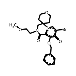 COCCN1CC2(CCOCC2)n2cc(Br)c(=O)c(OCc3ccccc3)c2C1=O